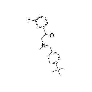 CN(CC(=O)c1cccc(F)c1)Cc1ccc(C(C)(C)C)cc1